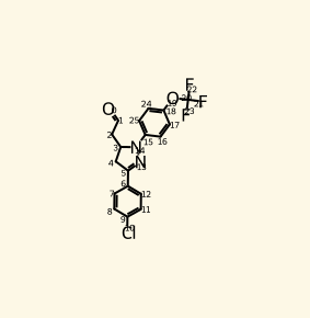 O=CCC1CC(c2ccc(Cl)cc2)=NN1c1ccc(OC(F)(F)F)cc1